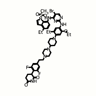 CCOc1cc(N2CCC(N3CCN(CCc4cc(F)c(C5CCC(=O)NC5=O)c(F)c4)CC3)CC2)c(CC)cc1Nc1ncc(Br)c(Nc2ccc(CC)c3ccn(S(C)(=O)=O)c23)n1